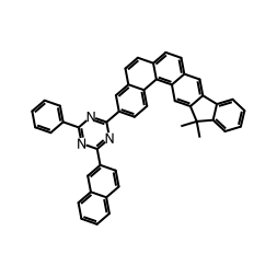 CC1(C)c2ccccc2-c2cc3ccc4ccc5cc(-c6nc(-c7ccccc7)nc(-c7ccc8ccccc8c7)n6)ccc5c4c3cc21